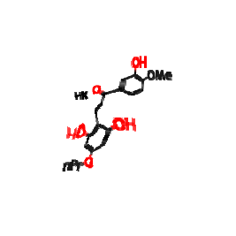 [CH2]CCOc1cc(O)c(CCC(=O)c2ccc(OC)c(O)c2)c(O)c1.[KH]